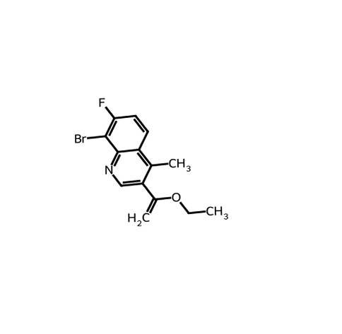 C=C(OCC)c1cnc2c(Br)c(F)ccc2c1C